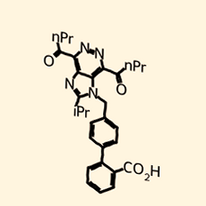 CCCC(=O)c1nnc(C(=O)CCC)c2c1nc(C(C)C)n2Cc1ccc(-c2ccccc2C(=O)O)cc1